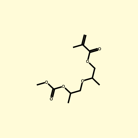 C=C(C)C(=O)OCC(C)OCC(C)OC(=O)OC